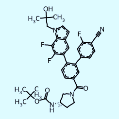 CC(C)(O)Cn1ccc2cc(-c3ccc(C(=O)N4CC[C@H](NC(=O)OC(C)(C)C)C4)cc3-c3ccc(C#N)c(F)c3)c(F)c(F)c21